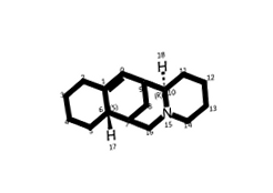 C1=C2CCCC[C@H]2C2CC1[C@H]1CCCCN1C2